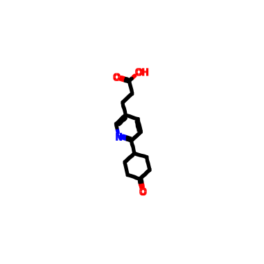 O=C(O)CCc1ccc(C2CCC(=O)CC2)nc1